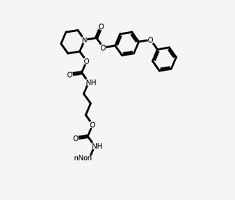 CCCCCCCCCNC(=O)OCCCNC(=O)OC1CCCCN1C(=O)Oc1ccc(Oc2ccccc2)cc1